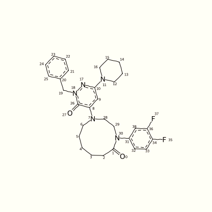 O=C1CCCCCN(c2cc(N3CCCCC3)nn(Cc3ccccc3)c2=O)CCN1c1ccc(F)c(F)c1